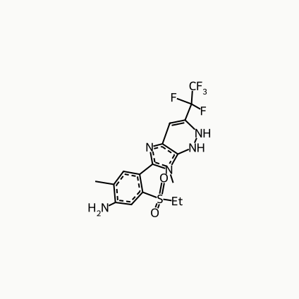 CCS(=O)(=O)c1cc(N)c(C)cc1-c1nc2c(n1C)NNC(C(F)(F)C(F)(F)F)=C2